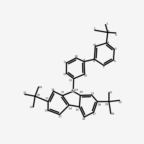 CC(C)(C)c1cccc(-c2cccc(-n3c4cc(C(C)(C)C)ccc4c4ccc(C(C)(C)C)cc43)c2)c1